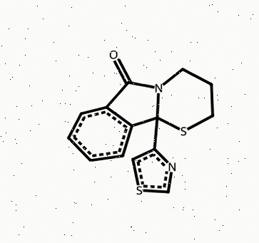 O=C1c2ccccc2C2(c3cscn3)SCCCN12